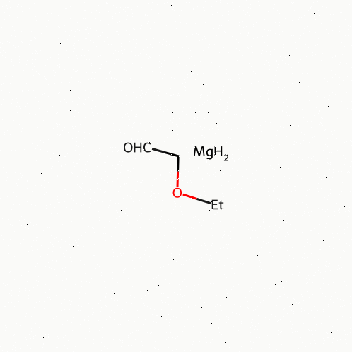 CCOCC=O.[MgH2]